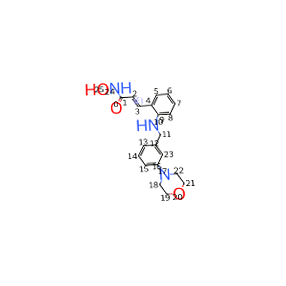 O=C(/C=C/c1ccccc1NCc1cccc(N2CCOCC2)c1)NO